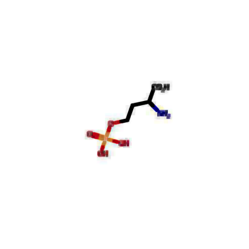 NC(CCOP(=O)(O)O)C(=O)O